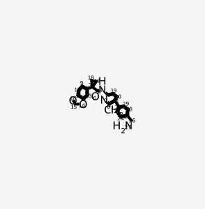 Cc1nc(NC(=O)C2(c3ccc4c(c3)OCO4)CC2)ccc1-c1ccc(CN)cc1